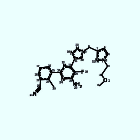 COCCn1ccc(Cn2cc(-c3nc(-c4cccc(C#N)c4C)nc(N)c3F)nn2)n1